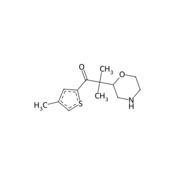 Cc1csc(C(=O)C(C)(C)C2CNCCO2)c1